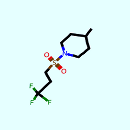 CC1CCN(S(=O)(=O)CCC(F)(F)F)CC1